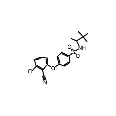 CC(NS(=O)(=O)c1ccc(Oc2cccc(Cl)c2C#N)cc1)C(C)(C)C